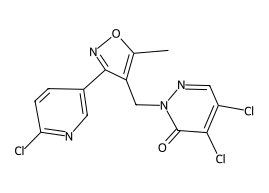 Cc1onc(-c2ccc(Cl)nc2)c1Cn1ncc(Cl)c(Cl)c1=O